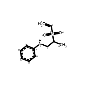 C=CS(=O)(=O)C(C)CNc1cc[c]cc1